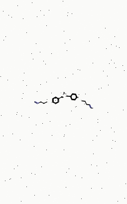 C/C=C/CCCOc1ccc(-c2nnc(-c3ccc(OCCC/C=C/C)cc3)s2)cc1